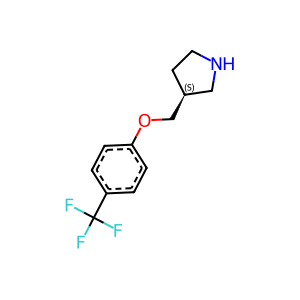 FC(F)(F)c1ccc(OC[C@H]2CCNC2)cc1